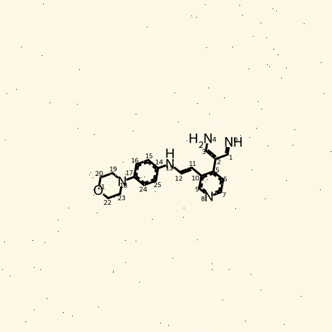 N=C/C(=C\N)c1ccncc1/C=C/Nc1ccc(N2CCOCC2)cc1